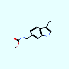 CC(C)(C)OC(=O)NCc1ccc2c(CC(=O)O)c[nH]c2c1